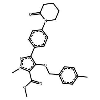 COC(=O)c1c(OCc2ccc(C)cc2)c(-c2ccc(N3CCCCC3=O)cc2)nn1C